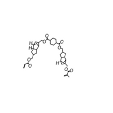 C=CC(=O)OCC1CC2C3C[C@@H](CC3COC(=O)C3CCC(C(=O)OCC4CC5C6C[C@@H](CC6COC(=O)C(=C)C)C5C4)CC3)[C@H]2C1